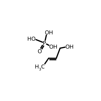 CC=CCO.O=P(O)(O)O